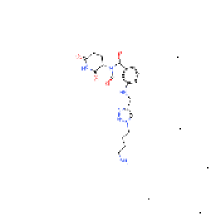 NCCCCn1cc(CNc2cccc3c2C(=O)N(C2CCC(=O)NC2=O)C3=O)nn1